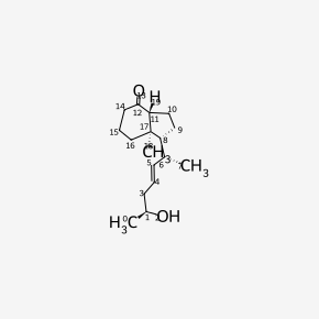 C[C@H](O)C/C=C/[C@@H](C)[C@H]1CC[C@H]2C(=O)CCC[C@]12C